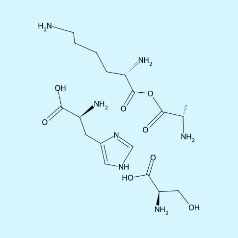 C[C@H](N)C(=O)OC(=O)[C@@H](N)CCCCN.N[C@@H](Cc1c[nH]cn1)C(=O)O.N[C@H](CO)C(=O)O